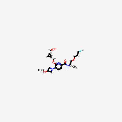 COC1CN(c2ccc(C(=O)N[C@@H](C)COCCCF)nc2OC[C@@H]2C[C@@H]2CO)C1